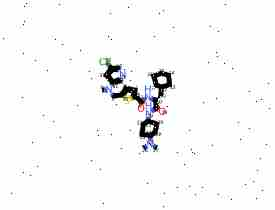 CN(Cc1ccc(C(=O)N[C@@H](CC2CCCCC2)C(=O)NC2CCC(N(C)C)CC2)s1)c1cncc(Cl)c1